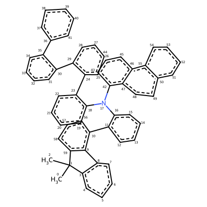 CC1(C)c2ccccc2-c2c(-c3ccccc3N(c3ccccc3-c3ccccc3-c3ccccc3-c3ccccc3)c3cccc4c3ccc3ccccc34)cccc21